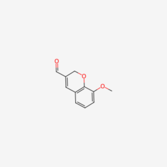 COc1cccc2c1OCC(C=O)=C2